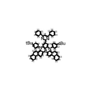 CC(C)(C)c1ccc(N2c3cc(-c4nc(-c5ccccc5)cc(-c5ccccc5)n4)cc4c3B(c3ccc5c(ccc6ccccc65)c32)c2ccc3c(ccc5ccccc53)c2N4c2ccc(C(C)(C)C)cc2)cc1